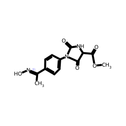 COC(=O)C1NC(=O)N(c2ccc(/C(C)=N/O)cc2)C1=O